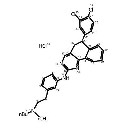 CCCCN(C)CCc1cccc(Nc2ncc3c(n2)-c2ccccc2[C@H](c2ccc(Cl)c(Cl)c2)C3)c1.Cl